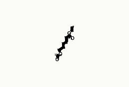 CCOC(=O)C=CCCCOC=O